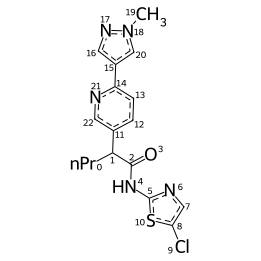 CCCC(C(=O)Nc1ncc(Cl)s1)c1ccc(-c2cnn(C)c2)nc1